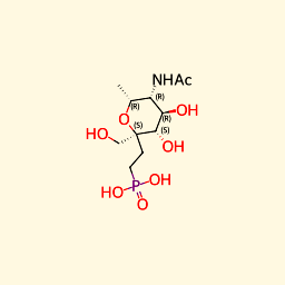 CC(=O)N[C@@H]1[C@@H](O)[C@H](O)[C@@](CO)(CCP(=O)(O)O)O[C@@H]1C